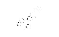 CN1CCCC1CNC(=O)c1nc(-c2ccc3ncc(C(F)(F)F)n3c2)c(-c2ncco2)nc1N